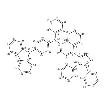 c1ccc(-c2nnc(-c3ccc(N(c4ccccc4)c4ccc(-n5c6ccccc6c6ccccc65)cc4)c4ccccc34)n2-c2ccccc2)cc1